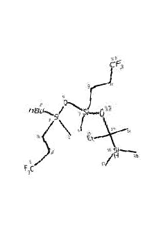 CCCC[Si](C)(CCC(F)(F)F)O[Si](C)(CCC(F)(F)F)OC(C)(CC)[SiH](C)C